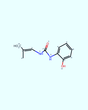 CC(=CNC(=O)Nc1ccccc1O)C(=O)O